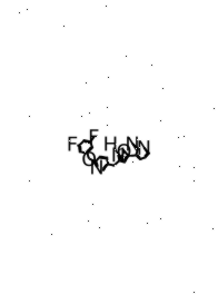 Nc1ncccc1-c1cc(Cc2ccc(Oc3cc(F)cc(F)c3)nc2)no1